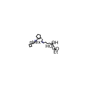 CCCCCCC1(C/C=C/[C@H]2CCC[C@@H]2C/C=C\CCCC(O)(O)COC(=O)CC)CCC1